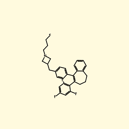 FCCCN1CC(Cc2ccc(C3=C(c4c(F)cc(F)cc4F)CCCc4ccccc43)cc2)C1